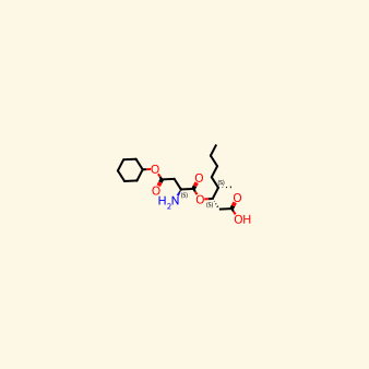 CCCC[C@H](C)[C@H](CC(=O)O)OC(=O)[C@@H](N)CC(=O)OC1CCCCC1